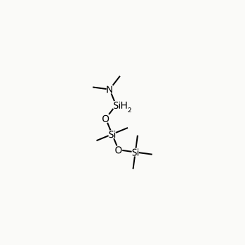 CN(C)[SiH2]O[Si](C)(C)O[Si](C)(C)C